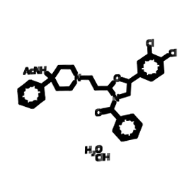 CC(=O)NC1(c2ccccc2)CCN(CCC2OC(c3ccc(Cl)c(Cl)c3)CN2C(=O)c2ccccc2)CC1.Cl.O